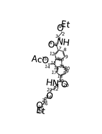 CCOCCNC(=O)c1ccc2c(c1)C(COC(C)=O)c1cc(C(=O)NCCOCCOCC)ccc1-2